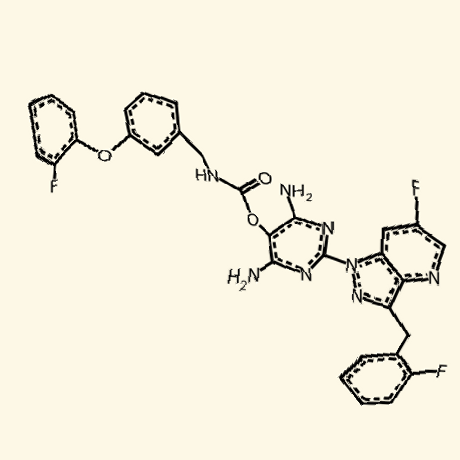 Nc1nc(-n2nc(Cc3ccccc3F)c3ncc(F)cc32)nc(N)c1OC(=O)NCc1cccc(Oc2ccccc2F)c1